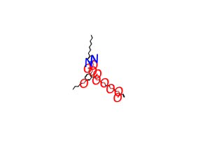 C=CC(=O)OCCOCCOCCOC(=O)c1cc(OCCCC)ccc1OC(=O)Oc1ncc(CCCCCCC)cn1